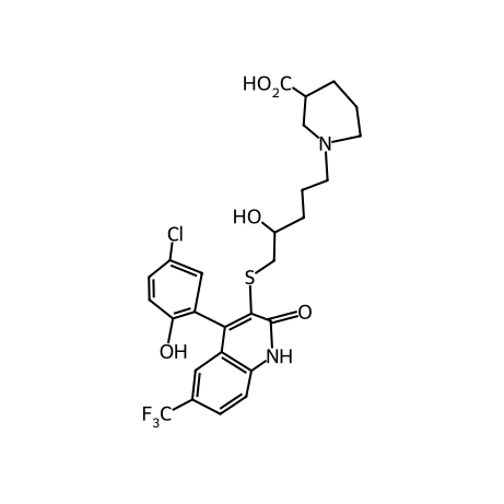 O=C(O)C1CCCN(CCCC(O)CSc2c(-c3cc(Cl)ccc3O)c3cc(C(F)(F)F)ccc3[nH]c2=O)C1